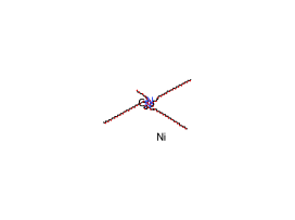 CCCCCCCC#CC(=Nc1ccccc1CCC#CCCCCCCCCCCCCCCCCCCCCCCC)C(C#CCCCCCCCCCCCCCCCCCCCCCCCCCCC)=Nc1ccccc1CCC#CCCCCCCCCCCCCCCCCCCCCCCC.[Ni]